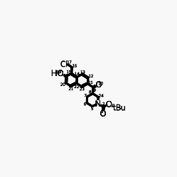 CC(C)(C)OC(=O)N1CCCC(C(=O)c2ccc3c(CCl)c(O)ccc3c2)C1